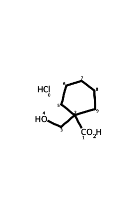 Cl.O=C(O)C1(CO)CCCCC1